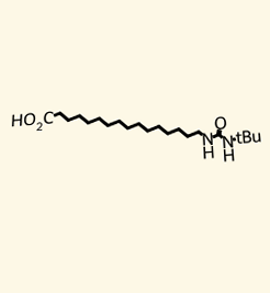 CC(C)(C)NC(=O)NCCCCCCCCCCCCCCCC(=O)O